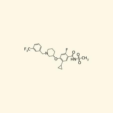 CS(=O)(=O)NC(=O)c1cc(C2CC2)c(O[C@@H]2CCCN(Cc3cccc(C(F)(F)F)c3)C2)cc1F